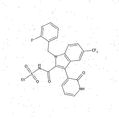 CCS(=O)(=O)NC(=O)c1c(-c2ccc[nH]c2=O)c2cc(C(F)(F)F)ccc2n1Cc1ccccc1F